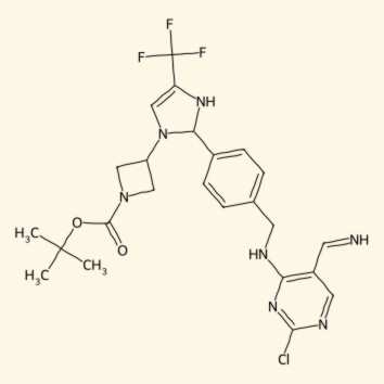 CC(C)(C)OC(=O)N1CC(N2C=C(C(F)(F)F)NC2c2ccc(CNc3nc(Cl)ncc3C=N)cc2)C1